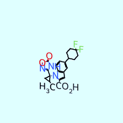 C[C@H]1C[C@]1(c1noc(=O)[nH]1)n1c(C(=O)O)cc2cc(C3CCC(F)(F)CC3)ccc21